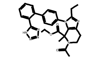 CCOC(=O)C1(C)c2c(nc(CC)n2-c2ccc(-c3ccccc3-c3nnn[nH]3)cc2)CCN1C(C)=O